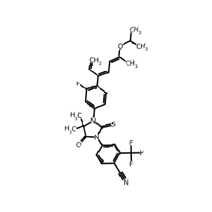 C=C/C(=C\C=C(/C)OC(C)C)c1ccc(N2C(=S)N(c3ccc(C#N)c(C(F)(F)F)c3)C(=O)C2(C)C)cc1F